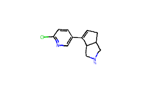 Clc1ccc(C2=CCC3CNCC23)cn1